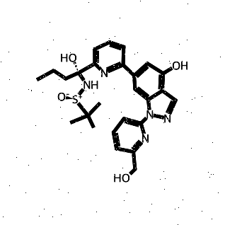 CCC[C@](O)(N[S@+]([O-])C(C)(C)C)c1cccc(-c2cc(O)c3cnn(-c4cccc(CO)n4)c3c2)n1